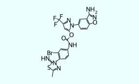 Cc1nn(-c2ccc(NC(=O)Oc3cc(C(F)(F)F)nn3-c3ccc4onc(N)c4c3)cc2Br)c(=N)s1